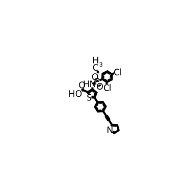 CCOP(=O)(Nc1cc(-c2ccc(C#CC3=CCC=N3)cc2)sc1C(=O)O)c1ccc(Cl)cc1Cl